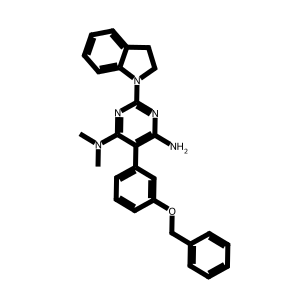 CN(C)c1nc(N2CCc3ccccc32)nc(N)c1-c1cccc(OCc2ccccc2)c1